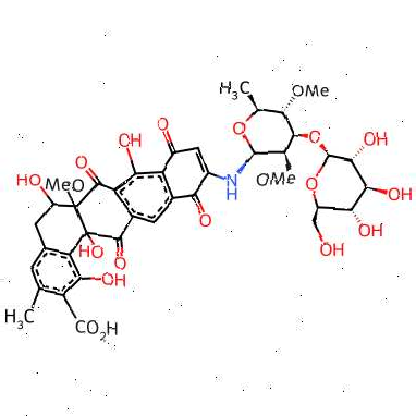 CO[C@@H]1[C@@H](O[C@@H]2O[C@H](CO)[C@@H](O)[C@H](O)[C@H]2O)[C@@H](OC)[C@@H](NC2=CC(=O)c3c(cc4c(c3O)C(=O)C3(OC)C(O)Cc5cc(C)c(C(=O)O)c(O)c5C3(O)C4=O)C2=O)O[C@H]1C